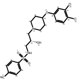 N#Cc1ccc(S(=O)(=O)NC[C@@H](O)CN2CCC(Oc3ccc(Cl)c(Cl)c3)CC2)cc1